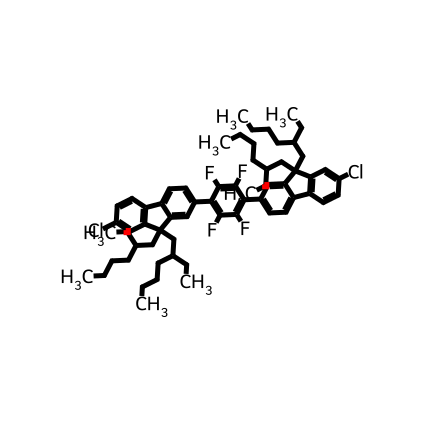 CCCCC(CC)CC1(CC(CC)CCCC)c2cc(Cl)ccc2-c2ccc(-c3c(F)c(F)c(-c4ccc5c(c4)C(CC(CC)CCCC)(CC(CC)CCCC)c4cc(Cl)ccc4-5)c(F)c3F)cc21